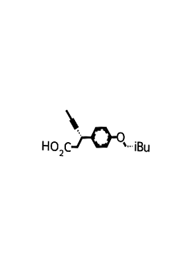 CC#C[C@@H](CC(=O)O)c1ccc(OC[C@@H](C)CC)cc1